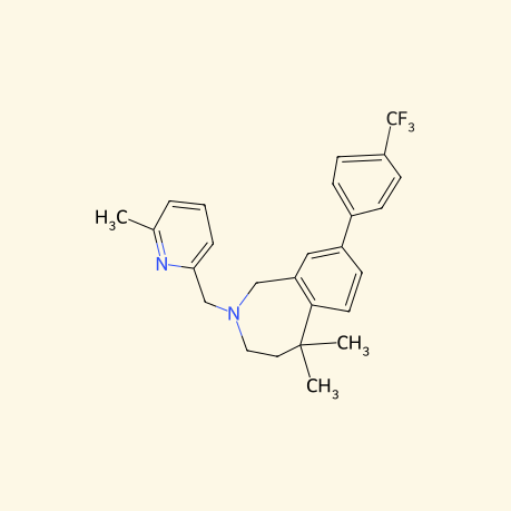 Cc1cccc(CN2CCC(C)(C)c3ccc(-c4ccc(C(F)(F)F)cc4)cc3C2)n1